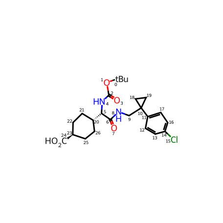 CC(C)(C)OC(=O)NC(C(=O)NCC1(c2ccc(Cl)cc2)CC1)[C@H]1CC[C@H](C(=O)O)CC1